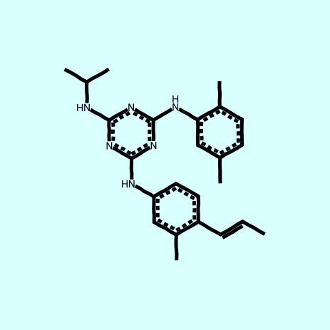 C/C=C/c1ccc(Nc2nc(Nc3cc(C)ccc3C)nc(NC(C)C)n2)cc1C